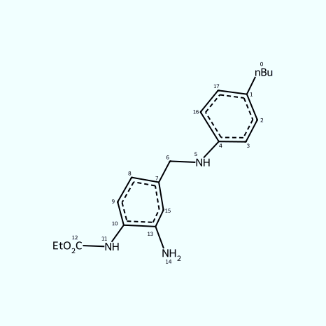 CCCCc1ccc(NCc2ccc(NC(=O)OCC)c(N)c2)cc1